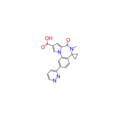 CN1C(=O)c2cc(C(=O)O)cn2-c2cc(-c3cccnn3)ccc2C12CC2